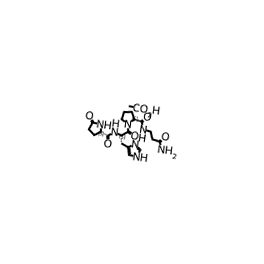 CC(=O)O.NC(=O)CCNC(=O)[C@@H]1CCCN1C(=O)[C@H](Cc1c[nH]cn1)NC(=O)[C@@H]1CCC(=O)N1